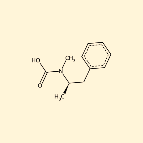 C[C@H](Cc1ccccc1)N(C)C(=O)O